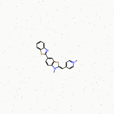 CN1/C(=C/c2cc[n+](C)cc2)Sc2cc(-c3nc4ccccc4s3)ccc21